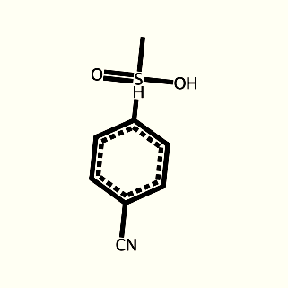 C[SH](=O)(O)c1ccc(C#N)cc1